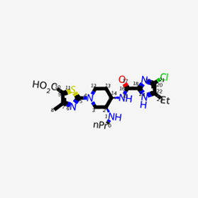 CCCN[C@H]1CN(c2nc(C)c(C(=O)O)s2)CC[C@H]1NC(=O)c1nc(Cl)c(CC)[nH]1